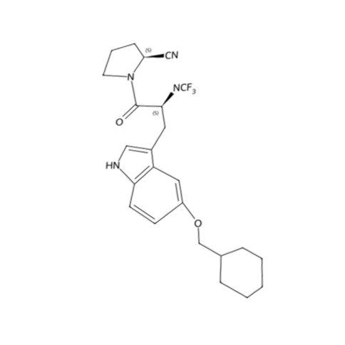 N#C[C@@H]1CCCN1C(=O)[C@H](Cc1c[nH]c2ccc(OCC3CCCCC3)cc12)NC(F)(F)F